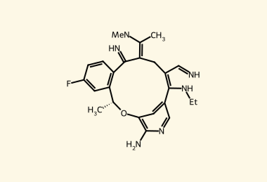 CCN/C1=C(\C=N)C/C(=C(\C)NC)C(=N)c2ccc(F)cc2[C@@H](C)Oc2cc1cnc2N